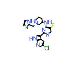 Fc1cnc(-c2c[nH]c3ncc(Cl)cc23)nc1N[C@H]1CCCN(Cc2ncc[nH]2)C1